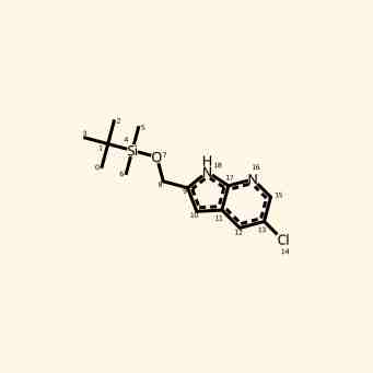 CC(C)(C)[Si](C)(C)OCc1cc2cc(Cl)cnc2[nH]1